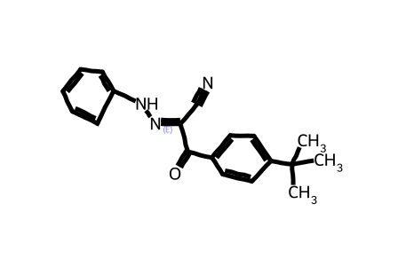 CC(C)(C)c1ccc(C(=O)/C(C#N)=N/Nc2ccccc2)cc1